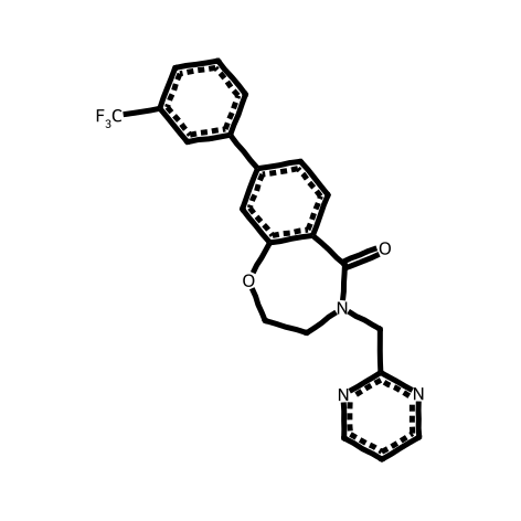 O=C1c2ccc(-c3cccc(C(F)(F)F)c3)cc2OCCN1Cc1ncccn1